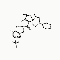 CC1=C(C(=O)N2CCc3c(F)cc(C(F)(F)F)cc3C2)C2(CCN(C3CCOCC3)CC2C)OC1=O